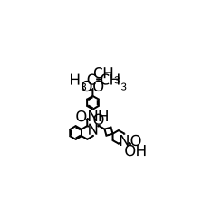 CC(C)(C)OC(=O)c1ccc(NC(=O)C2c3ccccc3CCN2C(=O)C2CC3(CCN(C(=O)O)CC3)C2)cc1